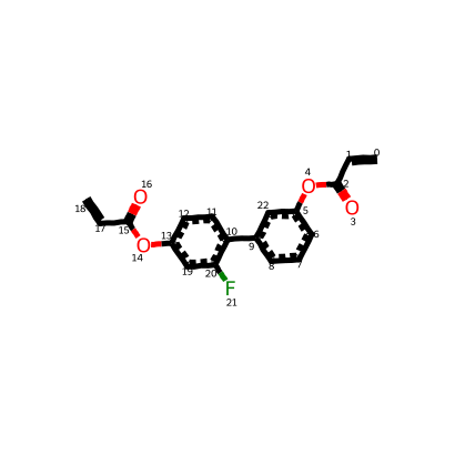 C=CC(=O)Oc1cccc(-c2ccc(OC(=O)C=C)cc2F)c1